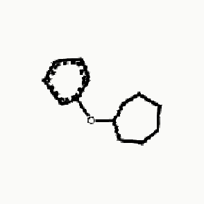 [c]1ccc(OC2CCCCCC2)cc1